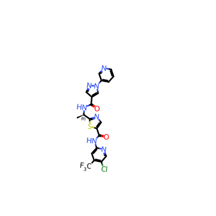 C[C@@H](NC(=O)c1cnn(-c2cccnc2)c1)c1ncc(C(=O)Nc2cc(C(F)(F)F)c(Cl)cn2)s1